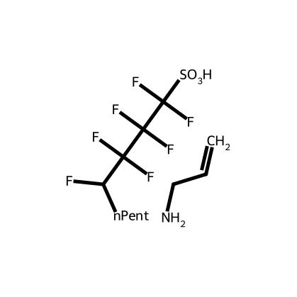 C=CCN.CCCCCC(F)C(F)(F)C(F)(F)C(F)(F)S(=O)(=O)O